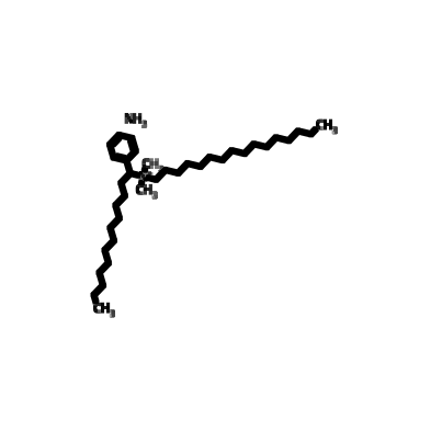 CCCCCCCCCCCCCCCC[N+](C)(C)C(CCCCCCCCCCCC)c1ccccc1.N